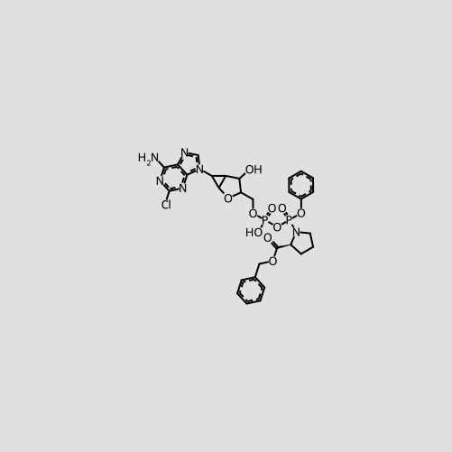 Nc1nc(Cl)nc2c1ncn2C1C2OC(COP(=O)(O)OP(=O)(Oc3ccccc3)N3CCC[C@H]3C(=O)OCc3ccccc3)C(O)C21